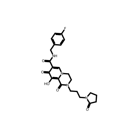 O=C(NCc1ccc(F)cc1)c1cn2c(c(O)c1=O)C(=O)N(CCCN1CCCC1=O)CC2